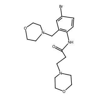 O=C(CCN1CCOCC1)Nc1ccc(Br)cc1CN1CCOCC1